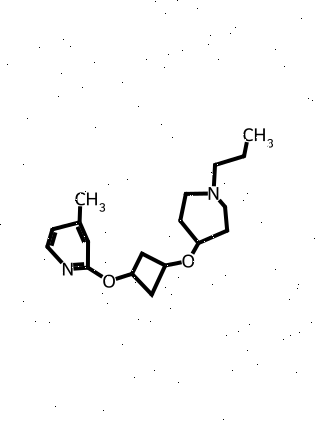 CCCN1CCC(OC2CC(Oc3cc(C)ccn3)C2)CC1